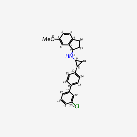 COc1ccc2c(c1)C(N[C@@H]1C[C@H]1c1ccc(-c3cccc(Cl)c3)cc1)CC2